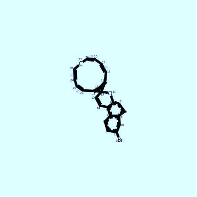 Brc1ccc2c3c(ccc2c1)OC1(C=C3)C2=C=C1/C=C\C=C/C/C=C\C=C/2